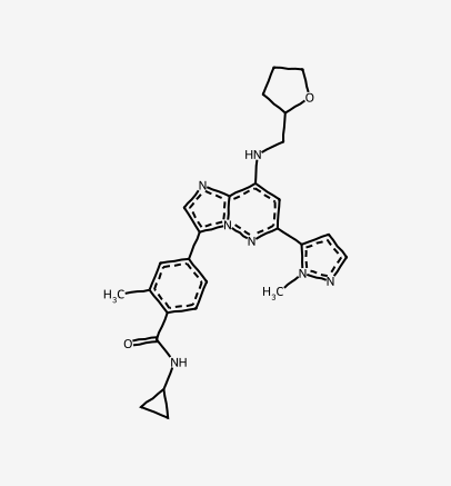 Cc1cc(-c2cnc3c(NCC4CCCO4)cc(-c4ccnn4C)nn23)ccc1C(=O)NC1CC1